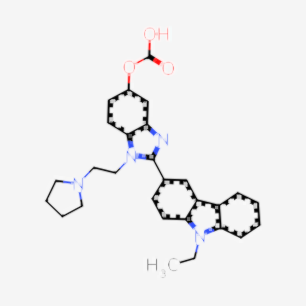 CCn1c2ccccc2c2cc(-c3nc4cc(OC(=O)O)ccc4n3CCN3CCCC3)ccc21